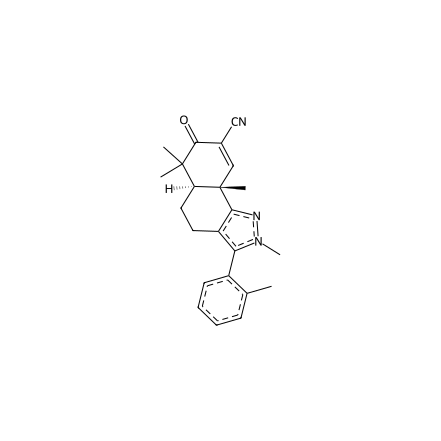 Cc1ccccc1-c1c2c(nn1C)[C@@]1(C)C=C(C#N)C(=O)C(C)(C)[C@@H]1CC2